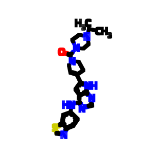 CC(C)N1CCN(C(=O)N2CC=C(c3cc4c(Nc5ccc6ncsc6c5)ncnc4[nH]3)CC2)CC1